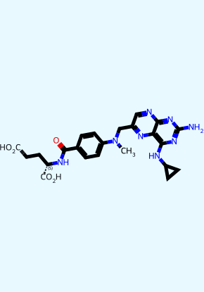 CN(Cc1cnc2nc(N)nc(NC3CC3)c2n1)c1ccc(C(=O)N[C@@H](CCC(=O)O)C(=O)O)cc1